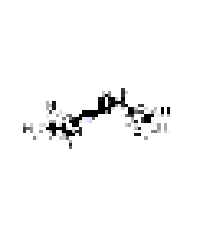 CC(C)(C)OC(=O)Nc1ncc(/C=C/c2ncc(C(C)(C)C)o2)s1